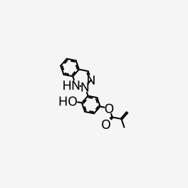 C=C(C)C(=O)Oc1ccc(O)c(N2N=Cc3ccccc3N2)c1